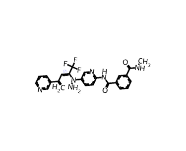 C=C(/C=C(\N(N)c1ccc(NC(=O)c2cccc(C(=O)NC)c2)nc1)C(F)(F)F)c1cccnc1